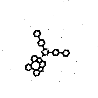 c1ccc(-c2ccc(-c3nc(-c4ccc(-c5ccccc5)cc4)nc(-n4c5cccc6c7ccccc7c7cccc8oc9ccc4c(c9c87)c65)n3)cc2)cc1